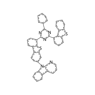 c1ccc(-c2nc(-c3cccc4c3sc3cc(-n5c6ccccc6c6cccnc65)ccc34)nc(-c3cccc4sc5ccccc5c34)n2)cc1